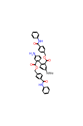 CNc1ccc(-c2ccc(N)cc2C(=O)OCc2ccc(C(=O)Nc3ccccc3)cc2)c(C(=O)OCc2ccc(C(=O)Nc3ccccc3)cc2)c1